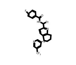 CCC(NC(=O)c1ccc(F)cc1)c1ccc2c(n1)CCC[C@@H]2c1cncc(C(F)(F)F)c1